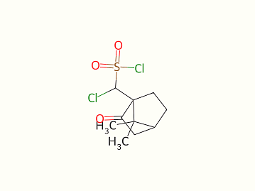 CC1(C)C2CCC1(C(Cl)S(=O)(=O)Cl)C(=O)C2